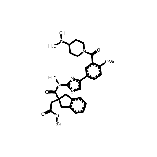 COc1ccc(-c2csc(N(C)C(=O)C3(CC(=O)OC(C)(C)C)Cc4ccccc4C3)n2)cc1C(=O)N1CCC(N(C)C)CC1